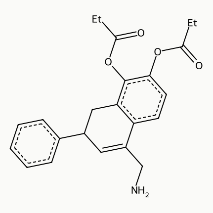 CCC(=O)Oc1ccc2c(c1OC(=O)CC)CC(c1ccccc1)C=C2CN